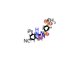 CC(C)c1cc(C#N)cc(C(C)C)c1NC(O)N=S(N)(=O)c1ccc(S(C)(=O)=O)cc1